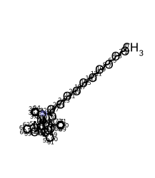 COCCOCCOCCOCCOCCOCCOCCOCCOCCOC(=O)/C(=C/c1ccccc1)c1nc2c(c(=O)n(CC3CCCCC3)c(=O)n2CC2CCCCC2)n1CC(=O)c1ccccc1